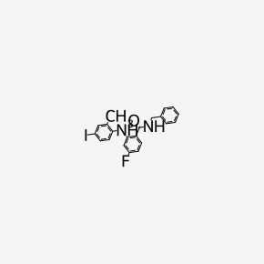 Cc1cc(I)ccc1Nc1cc(F)ccc1C(=O)NCc1ccccc1